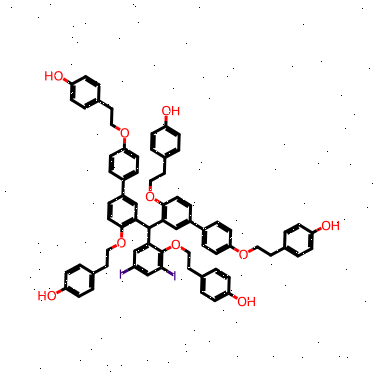 Oc1ccc(CCOc2ccc(-c3ccc(OCCc4ccc(O)cc4)c(C(c4cc(-c5ccc(OCCc6ccc(O)cc6)cc5)ccc4OCCc4ccc(O)cc4)c4cc(I)cc(I)c4OCCc4ccc(O)cc4)c3)cc2)cc1